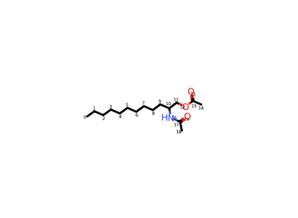 CCCCCCCCCCC(COC(C)=O)NC(C)=O